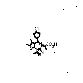 Cc1sc2c(c1C)C(c1ccc(Cl)cc1)=N[C@@H]([C@@H](C)C(=O)O)c1nnc(C)n1-2